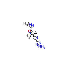 Cn1cc(-c2cc([C@@](C)(c3ccc(-c4cnc(N)nc4)nc3)C3CC3)no2)cn1